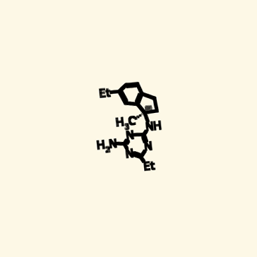 CCc1ccc2c(c1)[C@](C)(Nc1nc(N)nc(CC)n1)CC2